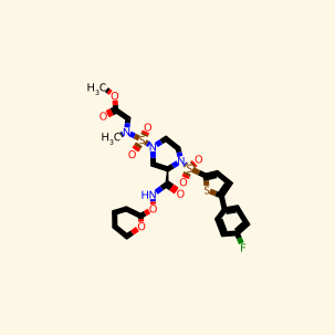 COC(=O)CN(C)S(=O)(=O)N1CCN(S(=O)(=O)c2ccc(-c3ccc(F)cc3)s2)[C@@H](C(=O)NOC2CCCCO2)C1